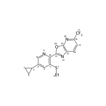 CCSc1cc(C2CC2)cnc1-c1nc2ccc(C(F)(F)F)nc2o1